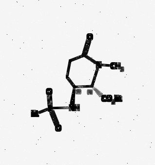 CCOC(=O)[C@@H]1[C@@H](NS(=O)(=O)CC)CCC(=O)N1C